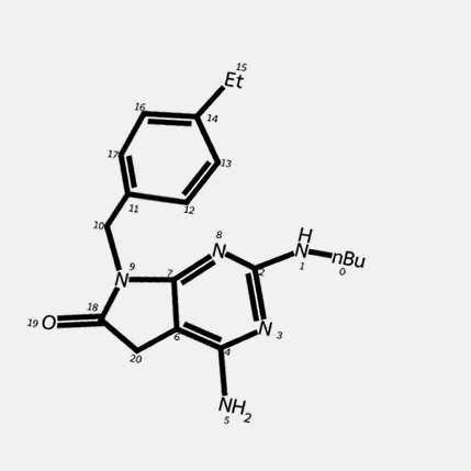 CCCCNc1nc(N)c2c(n1)N(Cc1ccc(CC)cc1)C(=O)C2